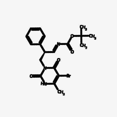 Cc1[nH]c(=O)n(C[C@H](/C=N/C(=O)OC(C)(C)C)c2ccccc2)c(=O)c1Br